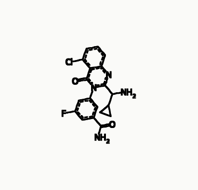 NC(=O)c1cc(F)cc(-n2c(C(N)C3CC3)nc3cccc(Cl)c3c2=O)c1